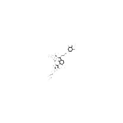 Cc1cc(OCCCc2c3n(c4c(-c5c(C)nn(COCC[Si](C)(C)C)c5C)c(Cl)ccc24)C(C)CNC3=O)cc(C)c1Cl